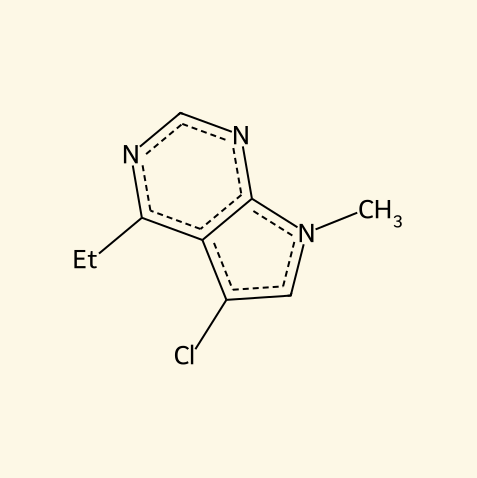 CCc1ncnc2c1c(Cl)cn2C